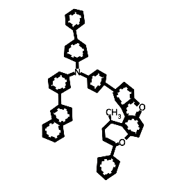 C[C@@H]1CC=C(c2ccccc2)Oc2ccc3oc4ccc(-c5ccc(N(c6ccc(-c7ccccc7)cc6)c6cccc(-c7ccc8ccccc8c7)c6)cc5)cc4c3c21